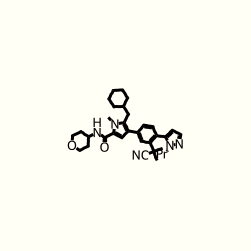 CC(C)n1nccc1-c1ccc(-c2cc(C(=O)NC3CCOCC3)n(C)c2CC2CCCCC2)cc1C(C)(C)C#N